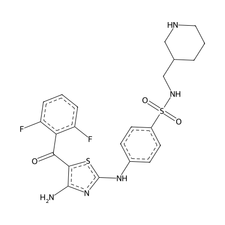 Nc1nc(Nc2ccc(S(=O)(=O)NCC3CCCNC3)cc2)sc1C(=O)c1c(F)cccc1F